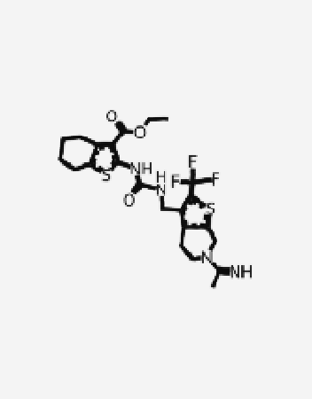 CCOC(=O)c1c(NC(=O)NCc2c(C(F)(F)F)sc3c2CCN(C(C)=N)C3)sc2c1CCCC2